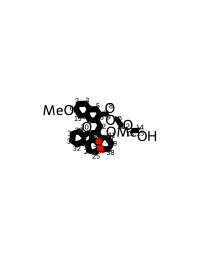 COc1ccc2cc(C(=O)OCCOCCO)c3c(c2c1)OC(c1ccccc1)(c1ccccc1)C(c1ccccc1OC)=C3